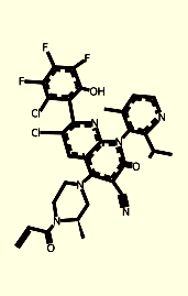 C=CC(=O)N1CCN(c2c(C#N)c(=O)n(-c3c(C)ccnc3C(C)C)c3nc(-c4c(O)c(F)c(F)c(F)c4Cl)c(Cl)cc23)C[C@H]1C